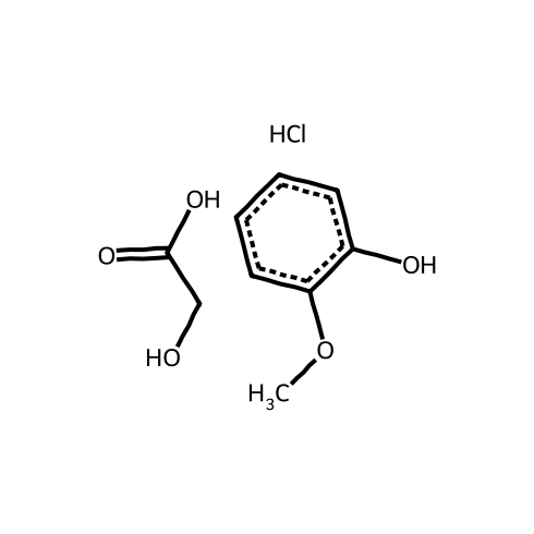 COc1ccccc1O.Cl.O=C(O)CO